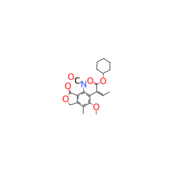 CC=C(C(=O)OC1CCCCC1)c1c(N=C=O)c2c(c(C)c1OC)COC2=O